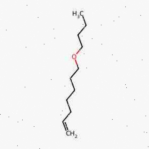 C=CCCCCCOCCCC